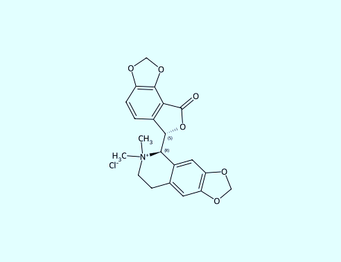 C[N+]1(C)CCc2cc3c(cc2[C@@H]1[C@H]1OC(=O)c2c1ccc1c2OCO1)OCO3.[Cl-]